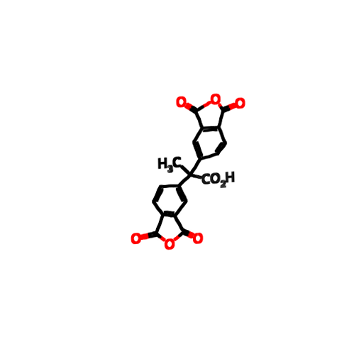 CC(C(=O)O)(c1ccc2c(c1)C(=O)OC2=O)c1ccc2c(c1)C(=O)OC2=O